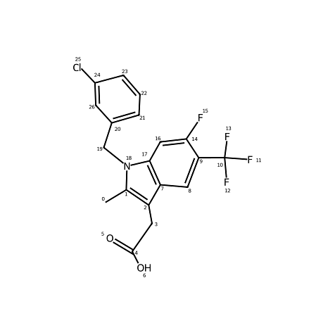 Cc1c(CC(=O)O)c2cc(C(F)(F)F)c(F)cc2n1Cc1cccc(Cl)c1